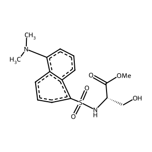 COC(=O)[C@H](CO)NS(=O)(=O)c1cccc2c(N(C)C)cccc12